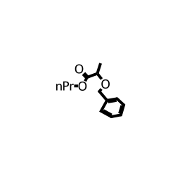 CCCOC(=O)C(C)OCc1ccccc1